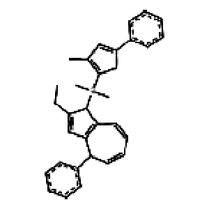 CCC1=CC2=C(C=CC=CC2c2ccccc2)C1[Si](C)(C)C1=C(C)C=C(c2ccccc2)C1